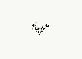 [Na+].[Na+].[Ni+2].[O-2].[O-2]